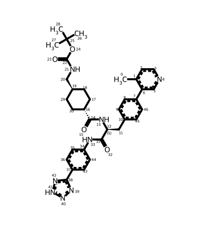 Cc1ccncc1-c1ccc(C[C@H](NC(=O)[C@H]2CC[C@H](CNC(=O)OC(C)(C)C)CC2)C(=O)Nc2ccc(-c3nn[nH]n3)cc2)cc1